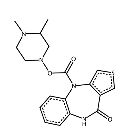 CC1CN(OC(=O)N2c3ccccc3NC(=O)c3cscc32)CCN1C